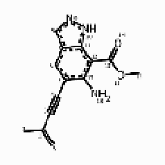 C=C(C)C#Cc1cc2cn[nH]c2c(C(=O)OC)c1N